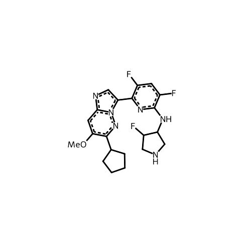 COc1cc2ncc(-c3nc(NC4CNCC4F)c(F)cc3F)n2nc1C1CCCC1